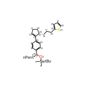 CCCCC[C@H](O[Si](C)(C)C(C)(C)C)c1ccc(C2=CCC[C@@H]2CCCc2cccs2)cc1